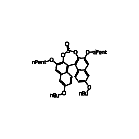 CCCCCOc1cc2cc(OCCCC)ccc2c2c1OS(=O)Oc1c(OCCCCC)cc3cc(OCCCC)ccc3c1-2